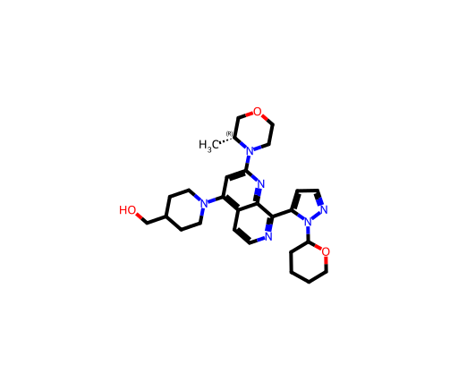 C[C@@H]1COCCN1c1cc(N2CCC(CO)CC2)c2ccnc(-c3ccnn3C3CCCCO3)c2n1